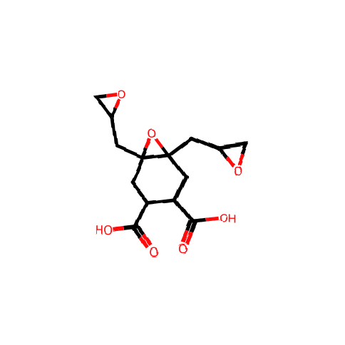 O=C(O)C1CC2(CC3CO3)OC2(CC2CO2)CC1C(=O)O